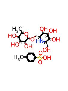 C[C@H]1O[C@@H](OC[C@H]2N[C@H](CO)[C@@H](O)[C@H](O)[C@H]2O)[C@H](O)[C@@H](O)[C@H]1O.Cc1ccc(S(=O)(=O)O)cc1